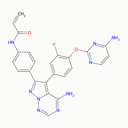 C=CC(=O)Nc1ccc(-c2nn3ncnc(N)c3c2-c2ccc(Oc3nccc(N)n3)c(F)c2)cc1